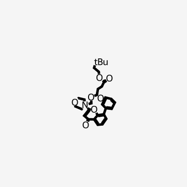 CC(C)(C)CCOC(=O)CCC(=O)OC[N+]1(c2cc(=O)c3cccc(-c4ccccc4)c3o2)CCOCC1